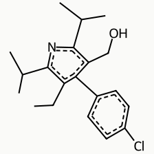 CCc1c(C(C)C)nc(C(C)C)c(CO)c1-c1ccc(Cl)cc1